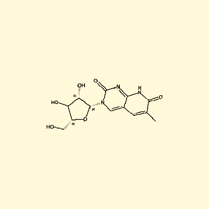 Cc1cc2cn([C@@H]3O[C@H](CO)C(O)[C@@H]3O)c(=O)nc2[nH]c1=O